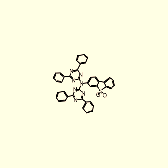 O=S1(=O)c2ccccc2-c2ccc(N(c3nc(-c4ccccc4)nc(-c4ccccc4)n3)c3nc(-c4ccccc4)nc(-c4ccccc4)n3)cc21